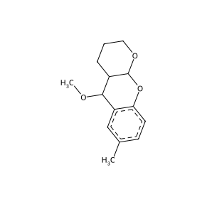 COC1c2cc(C)ccc2OC2OCCCC21